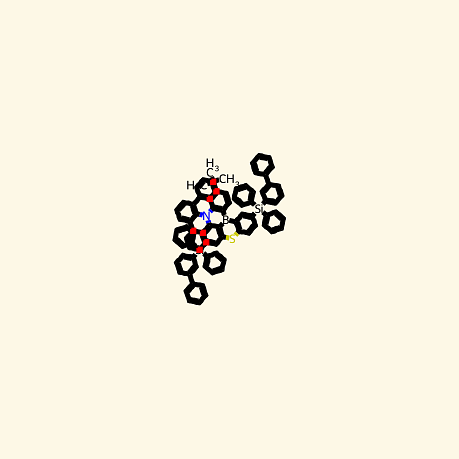 CC(C)(C)c1ccc2c(c1)N(c1c(-c3ccccc3)cccc1-c1ccccc1)c1cc([Si](c3ccccc3)(c3ccccc3)c3cccc(-c4ccccc4)c3)cc3c1B2c1cc([Si](c2ccccc2)(c2ccccc2)c2cccc(-c4ccccc4)c2)ccc1S3